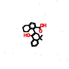 CC1(C)CC(c2c(C(=O)O)ccc3c2CCCC3)=C(O)c2ccccc21